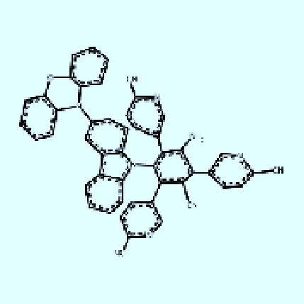 N#Cc1ccc(-c2c(N)c(-c3ccc(C#N)nc3)c(-n3c4ccccc4c4cc(N5c6ccccc6Oc6ccccc65)ccc43)c(-c3ccc(C#N)nc3)c2C#N)cn1